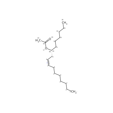 [CH2]CCCCCC/C=C\C[C@@H](CCCCCC)OC(C)=O